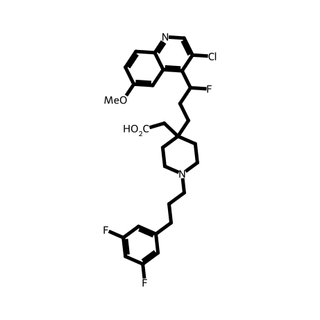 COc1ccc2ncc(Cl)c(C(F)CCC3(CC(=O)O)CCN(CCCc4cc(F)cc(F)c4)CC3)c2c1